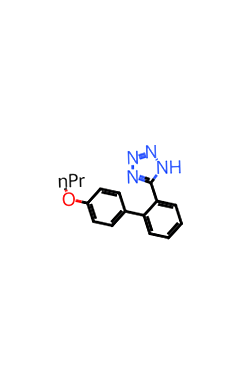 CCCOc1ccc(-c2ccccc2-c2nnn[nH]2)cc1